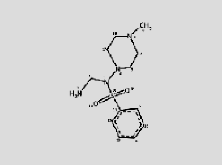 CN1CCN(N(CN)S(=O)(=O)c2ccccc2)CC1